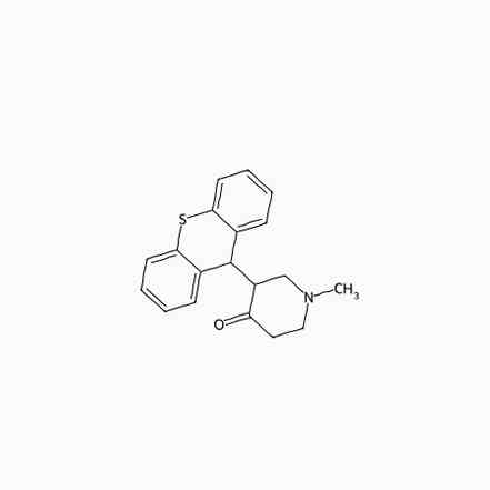 CN1CCC(=O)C(C2c3ccccc3Sc3ccccc32)C1